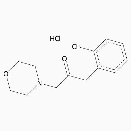 Cl.O=C(Cc1ccccc1Cl)CN1CCOCC1